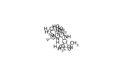 COc1cc2c(cc1-c1c(C)noc1C)[nH]c1nc(C)nc(Nc3cc(C4CC4)nn3C3CN(C(=O)O)C3C(C)(C)C)c12